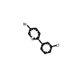 Clc1cccc(-c2ccc(Br)cn2)c1